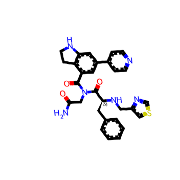 NC(=O)CN(C(=O)c1cc(-c2ccncc2)cc2c1CCN2)C(=O)[C@H](Cc1ccccc1)NCc1cscn1